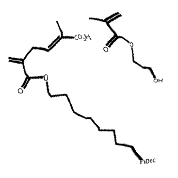 C=C(C)C(=O)OCCO.C=C(CC=C(C)C(=O)O)C(=O)OCCCCCCCCCCCCCCCCCC